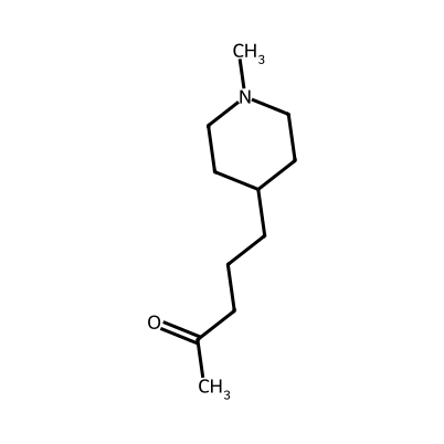 CC(=O)CCCC1CCN(C)CC1